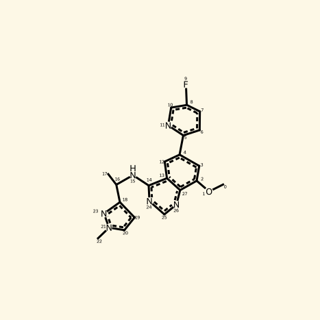 COc1cc(-c2ccc(F)cn2)cc2c(NC(C)c3ccn(C)n3)ncnc12